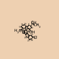 CN(C)c1ccc(C2(c3ccccc3N(C)C)C=CC3=C(C2)c2cc(Cl)ccc2C3)c(O)c1